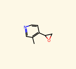 Cc1cnccc1C1CO1